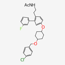 CC(=O)NCCc1ccc(OC2CCC(OCc3ccc(Cl)cc3)CC2)cc1-c1cccc(F)c1